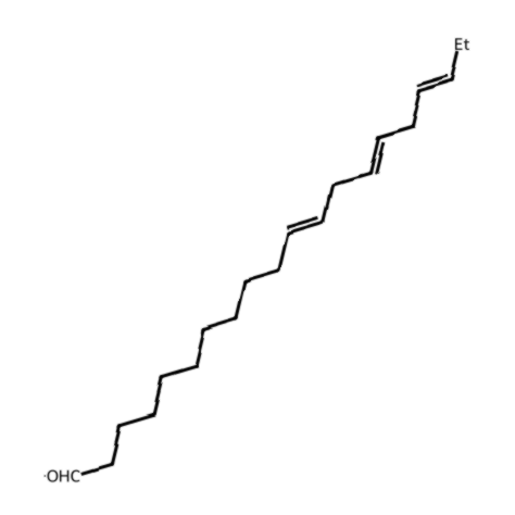 CCC=CCC=CCC=CCCCCCCCCC[C]=O